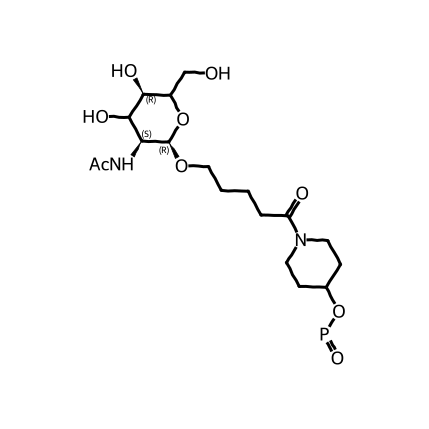 CC(=O)N[C@H]1C(O)[C@@H](O)C(CO)O[C@H]1OCCCCC(=O)N1CCC(OP=O)CC1